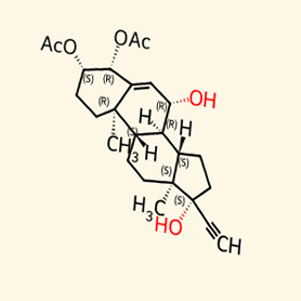 C#C[C@]1(O)CC[C@H]2[C@@H]3[C@@H](O)C=C4[C@@H](OC(C)=O)[C@@H](OC(C)=O)CC[C@]4(C)[C@H]3CC[C@@]21C